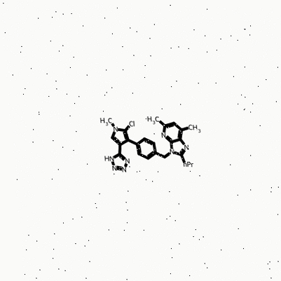 CCCc1nc2c(C)cc(C)nc2n1Cc1ccc(-c2c(-c3nnn[nH]3)cn(C)c2Cl)cc1